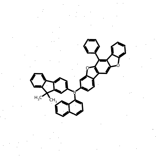 CC1(C)c2ccccc2-c2ccc(N(c3ccc4c(c3)oc3c(-c5ccccc5)c5c(cc34)oc3ccccc35)c3cccc4ccccc34)cc21